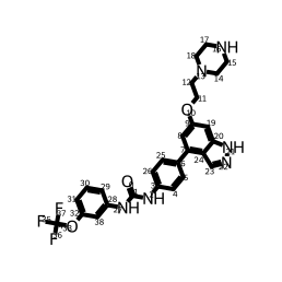 O=C(Nc1ccc(-c2cc(OCCN3CCNCC3)cc3[nH]ncc23)cc1)Nc1cccc(OC(F)(F)F)c1